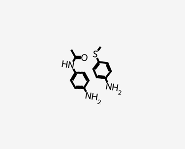 CC(=O)Nc1ccc(N)cc1.CSc1ccc(N)cc1